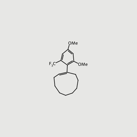 COc1cc(OC)c(/C2=C/CCCCCCCC2)c(C(F)(F)F)c1